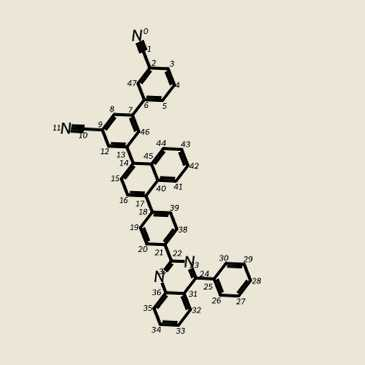 N#Cc1cccc(-c2cc(C#N)cc(-c3ccc(-c4ccc(-c5nc(-c6ccccc6)c6ccccc6n5)cc4)c4ccccc34)c2)c1